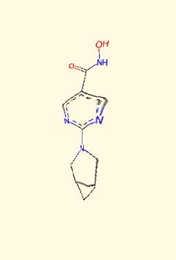 O=C(NO)c1cnc(N2CC3CC3C2)nc1